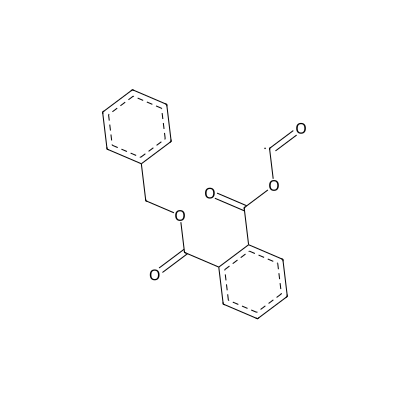 O=[C]OC(=O)c1ccccc1C(=O)OCc1ccccc1